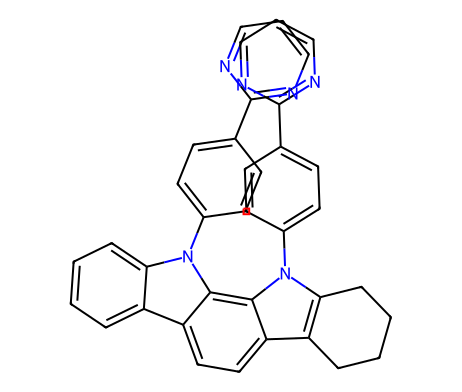 c1cnc(-c2ccc(-n3c4c(c5ccc6c7ccccc7n(-c7ccc(-c8ncccn8)cc7)c6c53)CCCC4)cc2)nc1